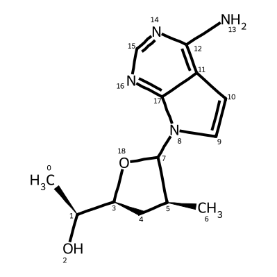 C[C@H](O)[C@@H]1C[C@H](C)C(n2ccc3c(N)ncnc32)O1